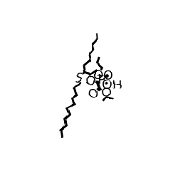 CCCCCCCCCCCSC(CCCCCCC)C(C)OC(C(=O)OC(C)C)P(=O)(O)OCCC